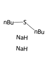 CCCCSCCCC.[NaH].[NaH]